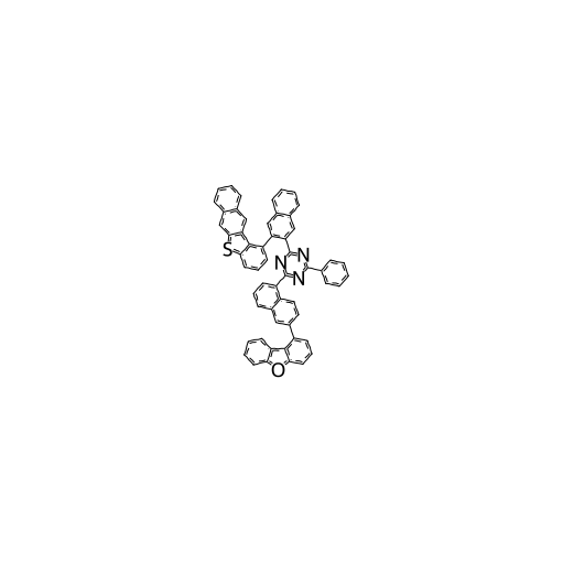 c1ccc(-c2nc(-c3cc4ccccc4cc3-c3cccc4sc5cc6ccccc6cc5c34)nc(-c3cccc4cc(-c5cccc6oc7ccccc7c56)ccc34)n2)cc1